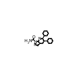 NC(=O)n1n[c]c2cc(-c3ccccc3)c(-c3ccccc3)nc21